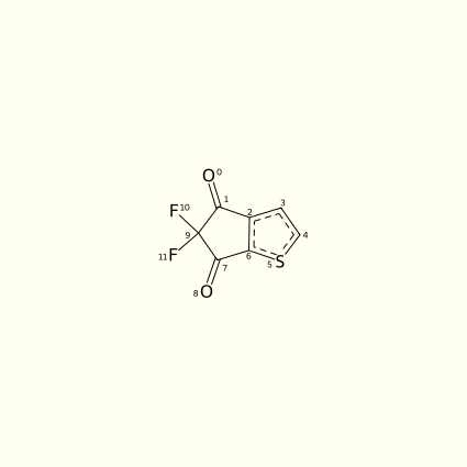 O=C1c2ccsc2C(=O)C1(F)F